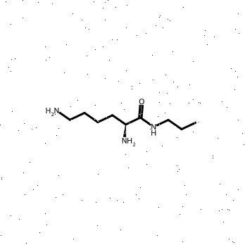 [CH2]CCNC(=O)[C@@H](N)CCCCN